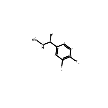 C[C@H](NC(C)(C)C)c1ccc(F)c(F)c1